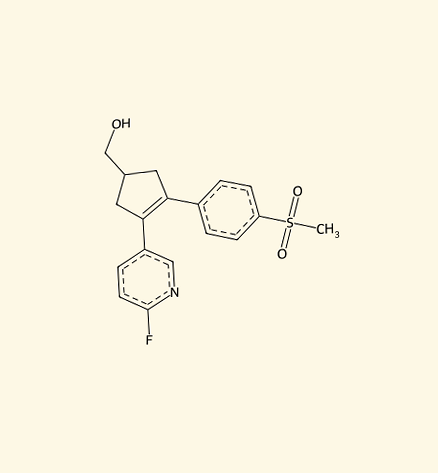 CS(=O)(=O)c1ccc(C2=C(c3ccc(F)nc3)CC(CO)C2)cc1